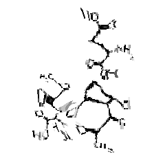 CC(=O)C(=O)c1c(Cl)cccc1Cl.COC(=O)N[C@@H](C)C(=O)O.N[C@@H](CC(=O)O)C(=O)O